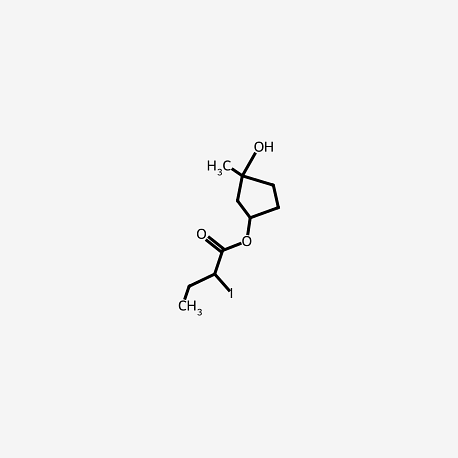 CCC(I)C(=O)OC1CCC(C)(O)C1